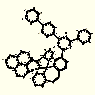 C1=Cc2ccc(-c3nc(-c4ccccc4)nc(-c4ccc(-c5ccccc5)cc4)n3)cc2C2(c3ccccc31)c1ccccc1-c1c2cc2ccc3cccc4ccc1c2c34